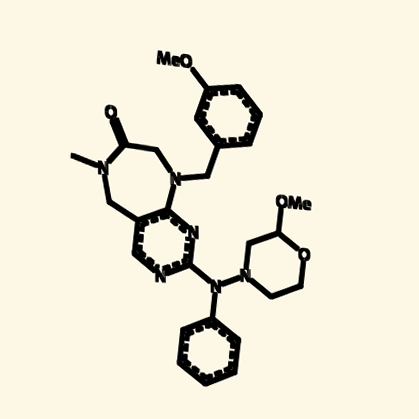 COc1cccc(CN2CC(=O)N(C)Cc3cnc(N(c4ccccc4)N4CCOC(OC)C4)nc32)c1